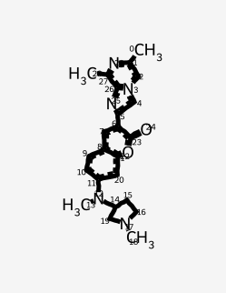 Cc1cn2cc(-c3cc4ccc(N(C)C5CCN(C)C5)cc4oc3=O)nc2c(C)n1